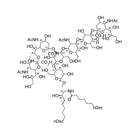 CCCCCCCCCCCCC/C=C/[C@@H](O)[C@H](CO[C@@H]1OC(CO)[C@@H](O[C@@H]2OC(CO)[C@H](O[C@@H]3OC(CO)[C@H](O)[C@H](O[C@@H]4OC(CO)[C@H](O)[C@H](O[C@]5(C(=O)O)CC(O)[C@@H](NC(C)=O)C([C@H](O)[C@H](O)CO)O5)C4O)C3NC(C)=O)[C@H](O[C@]3(C(=O)O)CC(O)[C@@H](NC(C)=O)C([C@H](O)[C@@H](CO)O[C@]4(C(=O)O)CC(O)[C@@H](NC(C)=O)C([C@H](O)[C@H](O)CO)O4)O3)C2O)[C@H](O)C1O)NC(=O)CCCCCCCCCCCCCCC